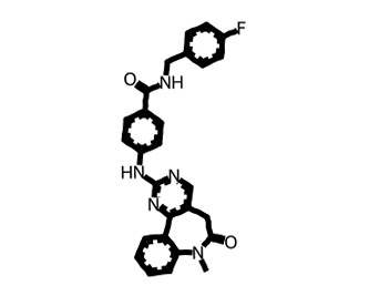 CN1C(=O)Cc2cnc(Nc3ccc(C(=O)NCc4ccc(F)cc4)cc3)nc2-c2ccccc21